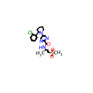 C[C@H](/C=C/S(C)(=O)=O)NC(=O)c1ncc(N2CCCCC2c2ccccc2Cl)cn1